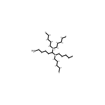 BCCCCC(P(CCCCC)CCCCC)P(CCCCC)CCCCC